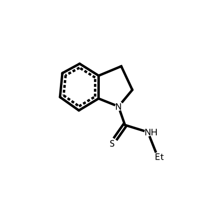 CCNC(=S)N1CCc2ccccc21